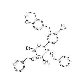 CC[C@H]1OC(c2ccc(C3CC3)c(Cc3ccc4c(c3)CCCO4)c2)[C@H](OCc2ccccc2)[C@@H](C)[C@@H]1OCc1ccccc1